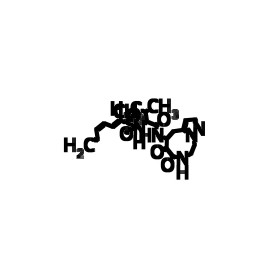 C=C/C=C\C=C(/C)S(=O)(=O)NC(C(=O)NC1Cc2ccnn2CCNC(=O)C1=O)C(C)C